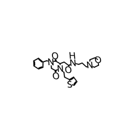 O=C(CC1C(=O)N(Cc2ccccc2)CC(=O)N1CCc1cccs1)NCCCN1CCOCC1